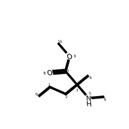 CCCC(C)(NC)C(=O)OC